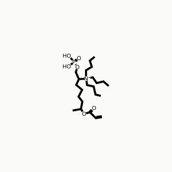 C=CC(=O)OC(C)CCCCC(COP(=O)(O)O)[N+](CCCC)(CCCC)CCCC